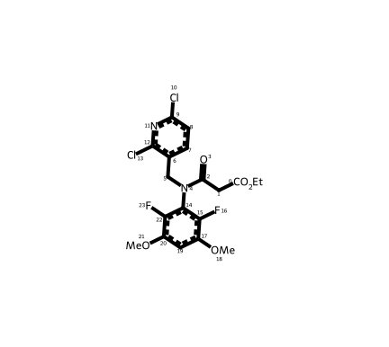 CCOC(=O)CC(=O)N(Cc1ccc(Cl)nc1Cl)c1c(F)c(OC)cc(OC)c1F